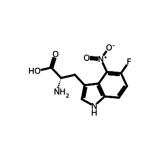 N[C@@H](Cc1c[nH]c2ccc(F)c([N+](=O)[O-])c12)C(=O)O